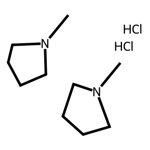 CN1CCCC1.CN1CCCC1.Cl.Cl